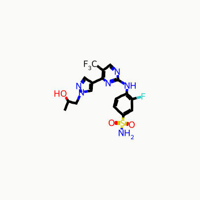 CC(O)Cn1cc(-c2nc(Nc3ccc(S(N)(=O)=O)cc3F)ncc2C(F)(F)F)cn1